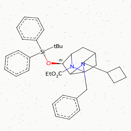 CCOC(=O)N1C2CC3CC1[C@H](O[Si](c1ccccc1)(c1ccccc1)C(C)(C)C)C2N(Cc1ccccc1)C3C1CCC1